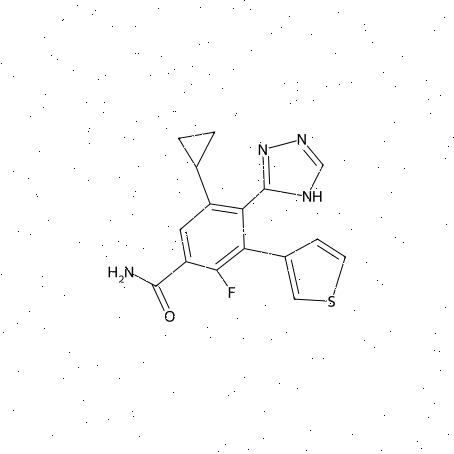 NC(=O)c1cc(C2CC2)c(-c2nnc[nH]2)c(-c2ccsc2)c1F